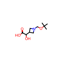 CC(C)(C)OCN1CC(C(O)C(=O)O)C1